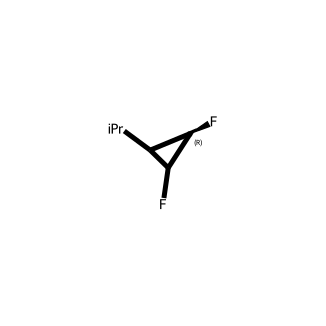 CC(C)C1C(F)[C@@H]1F